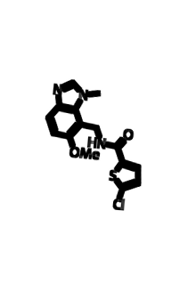 COc1ccc2ncn(C)c2c1CNC(=O)c1ccc(Cl)s1